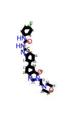 O=C(Nc1ccc(F)cc1)Nc1nc2cc(-c3ccc4ncn(CCN5CCOCC5)c(=O)c4c3)ccc2s1